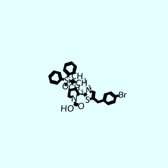 CC(C)(C)[Si](O[C@@H]1C[C@@H](c2ncc(Cc3ccc(Br)cc3)s2)N(C(=O)O)C1)(c1ccccc1)c1ccccc1